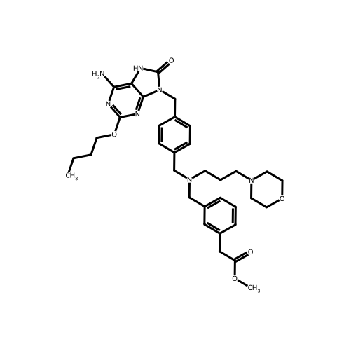 CCCCOc1nc(N)c2[nH]c(=O)n(Cc3ccc(CN(CCCN4CCOCC4)Cc4cccc(CC(=O)OC)c4)cc3)c2n1